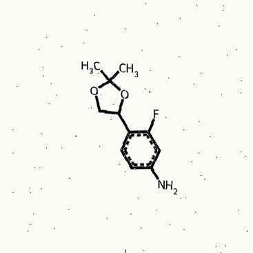 CC1(C)OCC(c2ccc(N)cc2F)O1